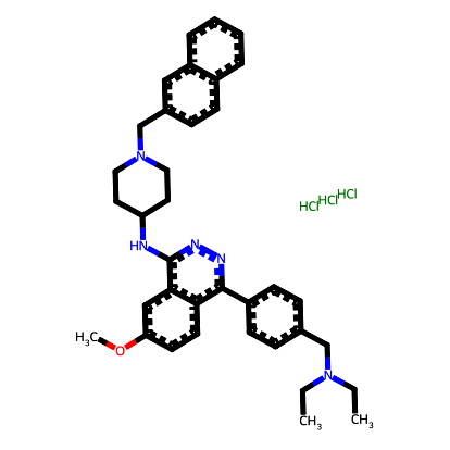 CCN(CC)Cc1ccc(-c2nnc(NC3CCN(Cc4ccc5ccccc5c4)CC3)c3cc(OC)ccc23)cc1.Cl.Cl.Cl